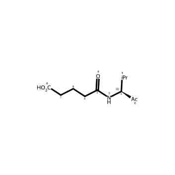 CC(=O)[C@@H](NC(=O)CCCC(=O)O)C(C)C